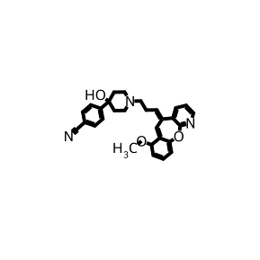 COC1C=CC=C2Oc3ncccc3C(=CCCN3CCC(O)(c4ccc(C#N)cc4)CC3)C=C21